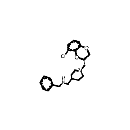 Clc1cccc2c1O[C@@H](CN1CCC(CNCc3ccccc3)CC1)CO2